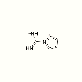 CNC(=N)n1cccn1